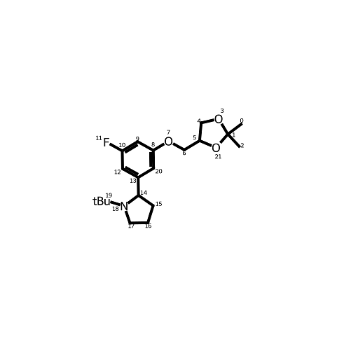 CC1(C)OCC(COc2cc(F)cc(C3CCCN3C(C)(C)C)c2)O1